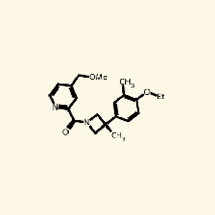 CCOc1ccc(C2(C)CN(C(=O)c3cc(COC)ccn3)C2)cc1C